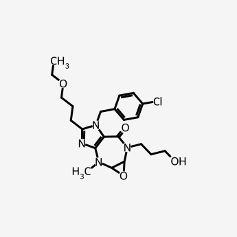 CCOCCCc1nc2c(n1Cc1ccc(Cl)cc1)C(=O)N(CCCO)C1OC1N2C